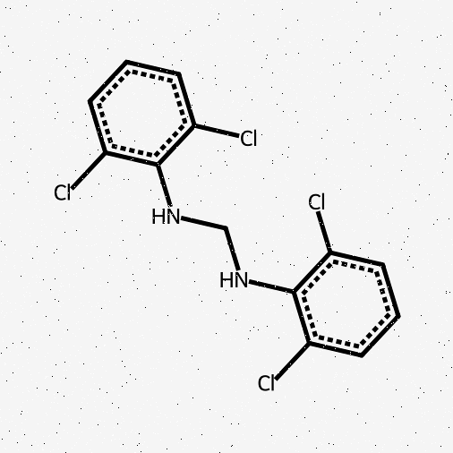 Clc1cccc(Cl)c1NCNc1c(Cl)cccc1Cl